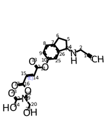 C#CCN[C@@H]1CCc2ccc(OC(=O)/C=C/C(=O)ON(CO)C(=O)O)cc21